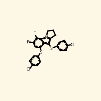 Fc1cc(Sc2ccc(Cl)cc2)c2c(Sc3ccc(Cl)cc3)c3n(c2c1F)CC[CH]3